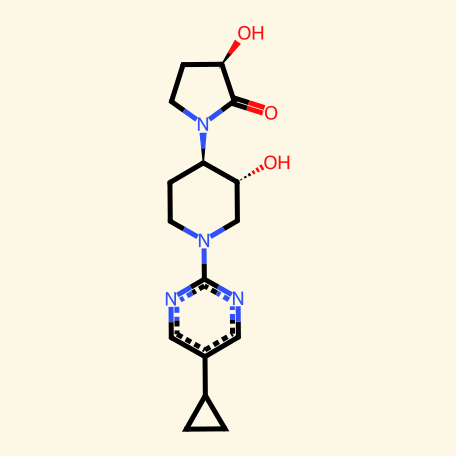 O=C1[C@H](O)CCN1[C@@H]1CCN(c2ncc(C3CC3)cn2)C[C@H]1O